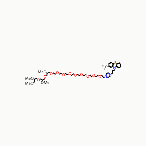 COCC(COCC(COCC(COCCOCCOCCOCCOCCOCCOCCOCCOCCN1CCN(CCCN2c3ccccc3Sc3ccc(C(F)(F)F)cc32)CC1)OC)OC)OC